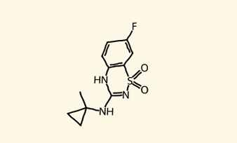 CC1(NC2=NS(=O)(=O)c3cc(F)ccc3N2)CC1